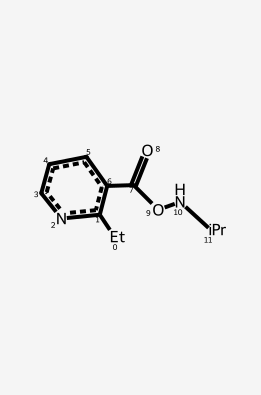 CCc1ncccc1C(=O)ONC(C)C